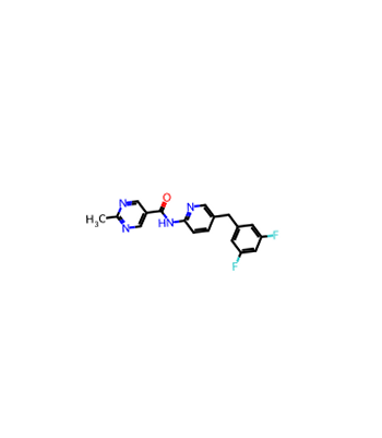 Cc1ncc(C(=O)Nc2ccc(Cc3cc(F)cc(F)c3)cn2)cn1